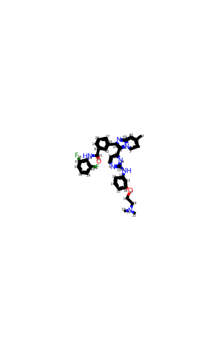 Cc1ccn2c(-c3ccnc(Nc4cccc(OCCN(C)C)c4)n3)c(-c3cccc(C(=O)Nc4c(F)cccc4F)c3)nc2c1